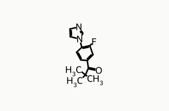 CC(C)(C)C(=O)c1ccc(-n2ccnc2)c(F)c1